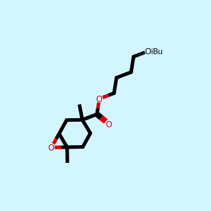 CC(C)COCCCCOC(=O)C1(C)CCC2(C)OC2C1